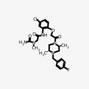 C[C@@H]1CN(C(=O)COc2ccc(Cl)cc2NC(=O)CN(C)C(N)=O)[C@@H](C)CN1Cc1ccc(F)cc1